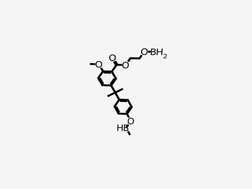 BOCCOC(=O)c1cc(C(C)(C)c2ccc(OBC)cc2)ccc1OC